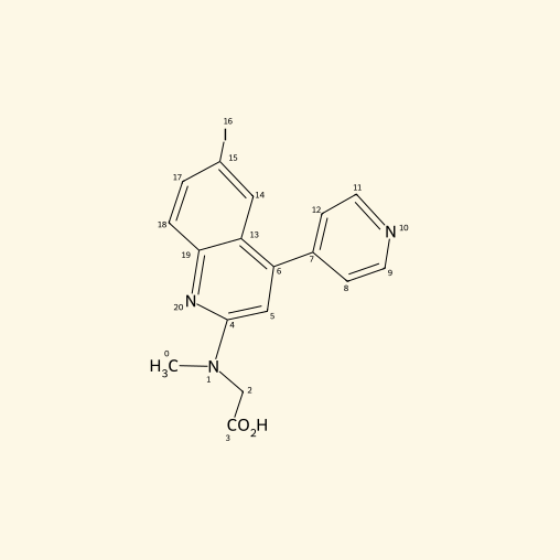 CN(CC(=O)O)c1cc(-c2ccncc2)c2cc(I)ccc2n1